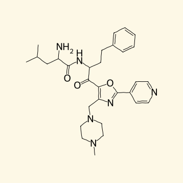 CC(C)CC(N)C(=O)NC(CCc1ccccc1)C(=O)c1oc(-c2ccncc2)nc1CN1CCN(C)CC1